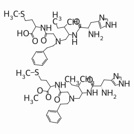 CCC(C)C(CN(CCc1ccccc1)CC(=O)NC(CCSC)C(=O)O)NC(=O)[C@@H](N)Cc1c[nH]cn1.CCC(C)C(CN(CCc1ccccc1)CC(=O)NC(CCSC)C(=O)OC)NC(=O)[C@@H](N)Cc1c[nH]cn1